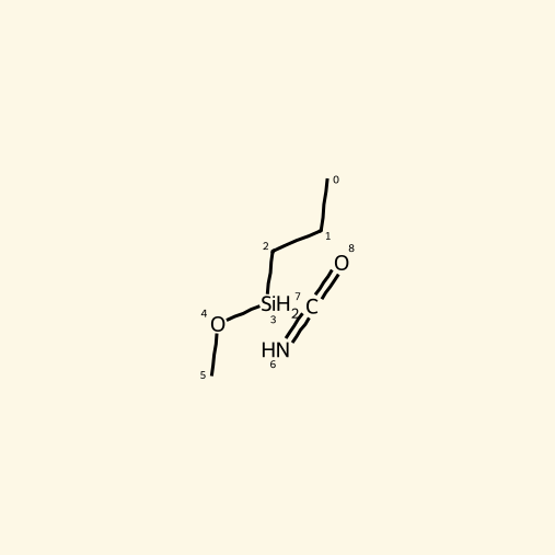 CCC[SiH2]OC.N=C=O